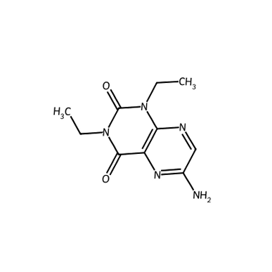 CCn1c(=O)c2nc(N)cnc2n(CC)c1=O